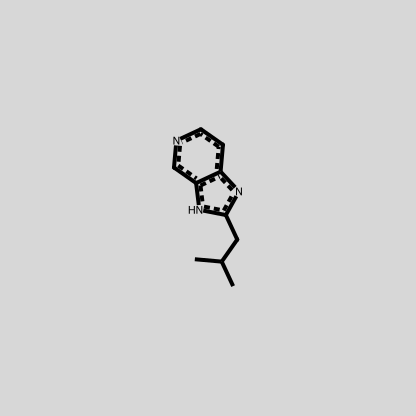 CC(C)Cc1nc2ccncc2[nH]1